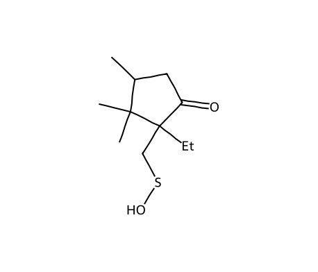 CCC1(CSO)C(=O)CC(C)C1(C)C